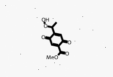 COC(=O)C1=CC(=O)C(C(C)OO)=CC1=O